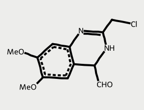 COc1cc2c(cc1OC)C(C=O)NC(CCl)=N2